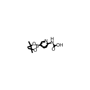 CC1(C)OB(c2ccc(NC(=O)O)nc2)OC1(C)C